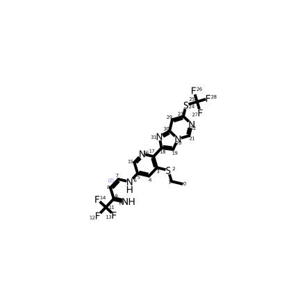 CCSc1cc(N/C=C\C(=N)C(F)(F)F)cnc1-c1cn2cnc(SC(F)(F)F)cc2n1